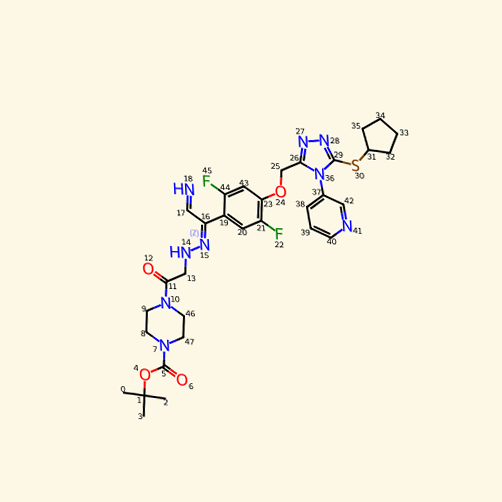 CC(C)(C)OC(=O)N1CCN(C(=O)CN/N=C(\C=N)c2cc(F)c(OCc3nnc(SC4CCCC4)n3-c3cccnc3)cc2F)CC1